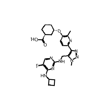 Cc1nc(-c2nnn(C)c2CNc2ncc(F)c(NC3CCC3)n2)ccc1O[C@H]1CCC[C@H](C(=O)O)C1